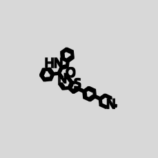 CN1CCC(c2ccc(-c3cc4ccn(C(c5ccccc5)c5cc6ccccc6[nH]5)c(=O)c4s3)cc2)CC1